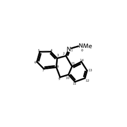 CNN=C1c2ccccc2Cc2ccccc21